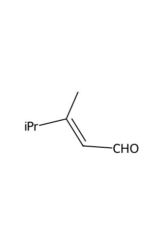 C/C(=C\C=O)C(C)C